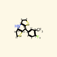 Fc1ccc(C2C3=C(CCS3)NC3=C2SCC3)cc1C(F)(F)F